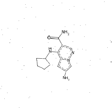 NC(=O)c1cnn2cc(N)cc2c1NC1CCCC1